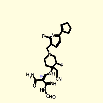 N#CCC1(N/C=C(\C(=N)NC=O)C(N)=O)CCN(Cc2ccc(C3=CCCC3)nc2F)CC1F